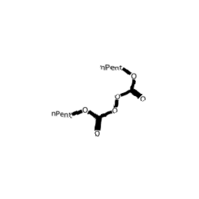 CCCCCOC(=O)OOC(=O)OCCCCC